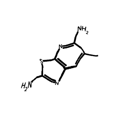 Cc1cc2nc(N)sc2nc1N